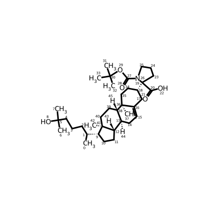 CC(CCCC(C)(C)O)[C@H]1CC[C@H]2[C@@H]3CC=C4C[C@@H](C5(C(=O)O)CCCN5C(=O)OC(C)(C)C)CC[C@]4(C)[C@H]3CC[C@]12C